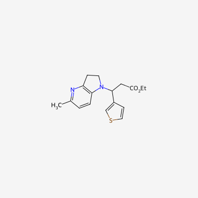 CCOC(=O)CC(c1ccsc1)N1CCc2nc(C)ccc21